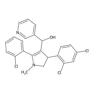 CN1CC(c2ccc(Cl)cc2Cl)C(C(O)c2cccnc2)=C1c1ccccc1Cl